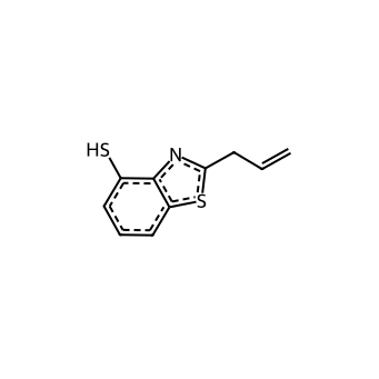 C=CCc1nc2c(S)cccc2s1